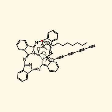 C#CC#CC#CC#CO[Si](C)(C)O[Si]1(O[Si](C)(C)OCCCCCCCC)n2c3c4ccccc4c2/N=C2N=C(/N=c4/c5ccccc5/c(n41)=N/C1=NC(=N\3)/c3ccccc31)c1ccccc1\2